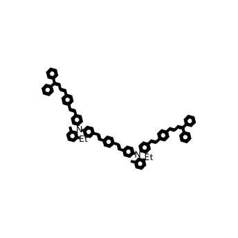 CCc1cccc(C)c1N(c1ccc(C=Cc2ccc(C=CC=C(c3ccccc3)c3ccccc3)cc2)cc1)c1ccc(C=Cc2ccc(/C=C/c3ccc(N(c4ccc(/C=C/c5ccc(/C=C/C=C(c6ccccc6)c6ccccc6)cc5)cc4)c4c(C)cccc4CC)cc3)cc2)cc1